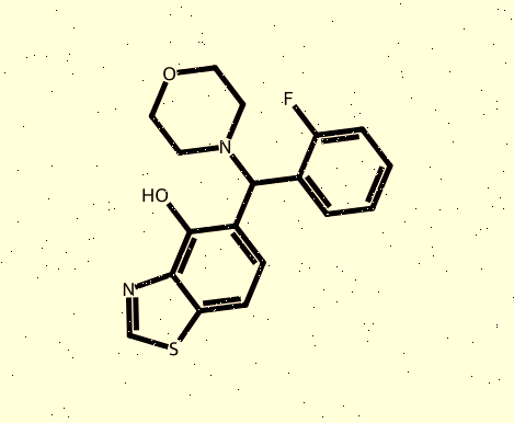 Oc1c(C(c2ccccc2F)N2CCOCC2)ccc2scnc12